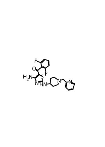 Nc1nc(NC2CCN(Cc3ccccn3)CC2)sc1C(=O)c1c(F)cccc1F